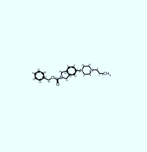 CCCN1CCN(c2ccc3c(c2)CN(C(=O)OCc2ccccc2)C3)CC1